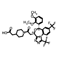 COc1cccc([C@H]2O[C@H](CC(=O)N3CCC(CC(=O)O)CC3)c3nnc(C(F)(F)F)n3-c3ccc(C(F)(F)F)cc32)c1OC